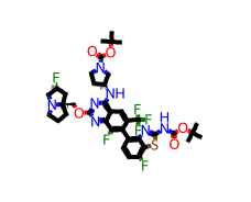 CC(C)(C)OC(=O)Nc1nc2c(-c3c(C(F)(F)F)cc4c(N[C@@H]5CCN(C(=O)OC(C)(C)C)C5)nc(OC[C@@]56CCCN5C[C@H](F)C6)nc4c3F)ccc(F)c2s1